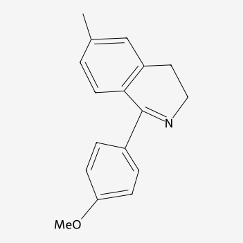 COc1ccc(C2=NCCc3cc(C)ccc32)cc1